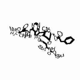 COC(C)(C)C(=O)Nc1ncnn2c([C@]3(C#N)O[C@H](COC(=O)Cc4ccccc4)[C@@H](OC(=O)[C@@H](NC(=O)OC(C)(C)C)C(C)(C)C)[C@H]3O)ccc12